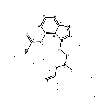 C=CCN(C)CCc1c[nH]c2cccc(OC(=O)CC)c12